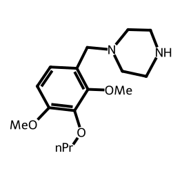 CCCOc1c(OC)ccc(CN2CCNCC2)c1OC